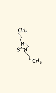 CCCCN1CCN(CCCC)C1=S